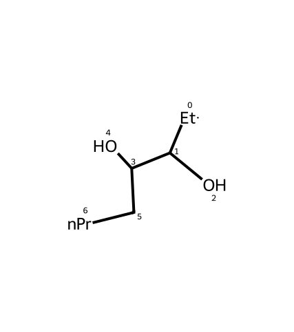 C[CH]C(O)C(O)CCCC